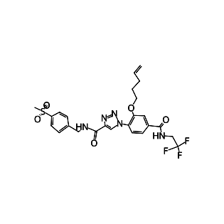 C=CCCCOc1cc(C(=O)NCC(F)(F)F)ccc1-n1cc(C(=O)NCc2ccc(S(C)(=O)=O)cc2)nn1